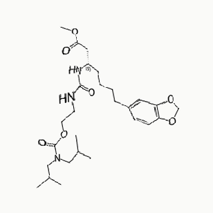 COC(=O)C[C@H](CCCCc1ccc2c(c1)OCO2)NC(=O)NCCOC(=O)N(CC(C)C)CC(C)C